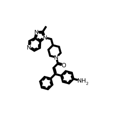 Cc1nc2cnccc2n1CC1CCN(C(=O)/C=C(/c2ccccc2)c2ccc(N)cc2)CC1